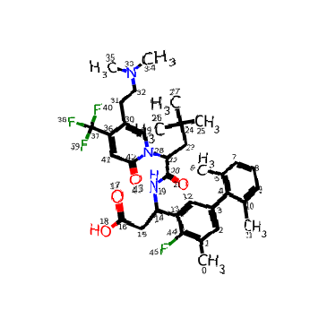 Cc1cc(-c2c(C)cccc2C)cc(C(CC(=O)O)NC(=O)C(CC(C)(C)C)n2cc(CCN(C)C)c(C(F)(F)F)cc2=O)c1F